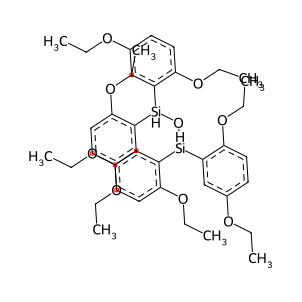 CCOc1ccc(OCC)c([SiH](O[SiH](c2cc(OCC)ccc2OCC)c2cc(OCC)ccc2OCC)c2cc(OCC)ccc2OCC)c1